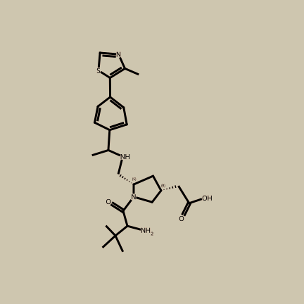 Cc1ncsc1-c1ccc(C(C)NC[C@@H]2C[C@H](CC(=O)O)CN2C(=O)C(N)C(C)(C)C)cc1